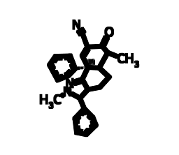 CC1C(=O)C(C#N)=C[C@]2(c3ccccc3)C3=NN(C)C(c4ccccc4)C3CCC12